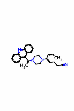 C=C(c1c2ccccc2nc2ccccc12)N1CCN(C(/C=C\C)=C/CCC#N)CC1